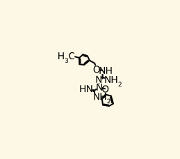 Cc1ccc(CONC(N)=NN(Oc2ccccc2)C(=N)N)cc1